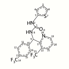 O=C(Nc1cccs1)NC(c1ccc(C(F)(F)F)cc1)c1ncccc1C(F)(F)F